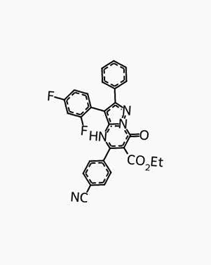 CCOC(=O)c1c(-c2ccc(C#N)cc2)[nH]c2c(-c3ccc(F)cc3F)c(-c3ccccc3)nn2c1=O